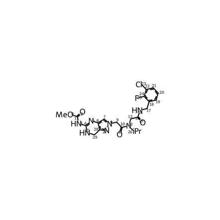 COC(=O)NC1=Nc2cn(CC(=O)N(CC(=O)NCc3cccc(Cl)c3F)C(C)C)nc2CN1